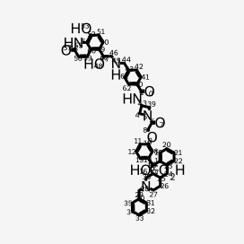 O=C(NC1CN(C(=O)COc2cccc([C@@](O)(C(=O)O)c3ccccc3CC3CCN(Cc4ccccc4)CC3)c2)C1)c1ccc(CNC[C@H](O)c2ccc(O)c3[nH]c(=O)ccc23)cc1